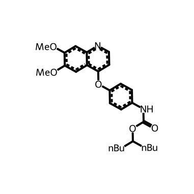 CCCCC(CCCC)OC(=O)Nc1ccc(Oc2ccnc3cc(OC)c(OC)cc23)cc1